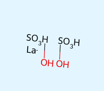 O=S(=O)(O)O.O=S(=O)(O)O.[La]